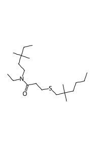 CCCCC(C)(C)CSCCC(=O)N(CC)CCC(C)(C)CC